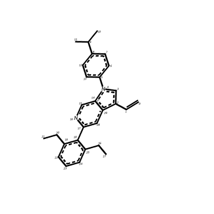 C=Cc1cn(-c2ccc(C(C)C)cc2)c2cnc(-c3c(CC)cccc3CC)cc12